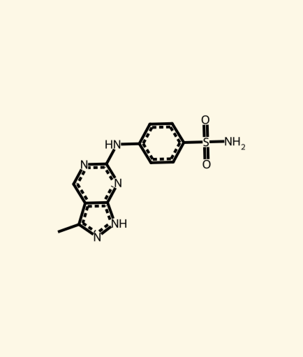 Cc1n[nH]c2nc(Nc3ccc(S(N)(=O)=O)cc3)ncc12